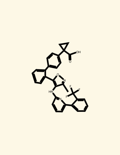 Cc1noc(-c2ccccc2-c2ccc(C3(C(=O)O)CC3)cc2)c1Nc1cccc(-c2ccccc2C(F)(F)F)n1